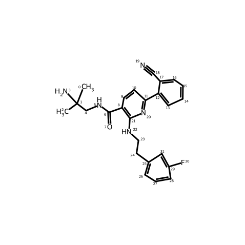 CC(C)(N)CNC(=O)c1ccc(-c2ccccc2C#N)nc1NCCc1cccc(F)c1